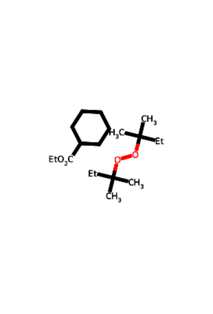 CCC(C)(C)OOC(C)(C)CC.CCOC(=O)C1CCCCC1